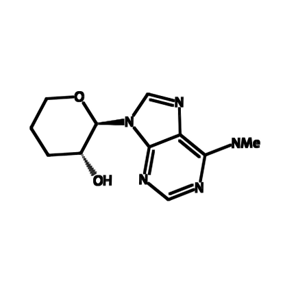 CNc1ncnc2c1ncn2[C@@H]1OCCC[C@H]1O